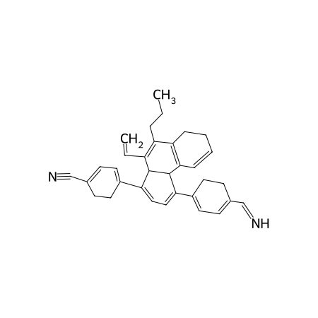 C=CC1=C(CCC)C2=C(C=CCC2)C2C(C3=CC=C(C=N)CC3)=CC=C(C3=CC=C(C#N)CC3)C12